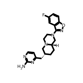 Nc1nccc(C[C@H]2CC[C@H]3CN(c4noc5ccc(F)cc45)CCN3C2)n1